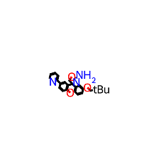 CC(C)(C)COc1ccc2c(c1)C1(COC(N)=N1)c1cc(-c3ccccn3)ccc1O2